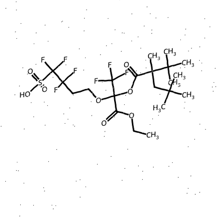 CCOC(=O)C(OCCC(F)(F)C(F)(F)S(=O)(=O)O)(OC(=O)C(C)(CC(C)(C)C)C(C)(C)C)C(F)(F)F